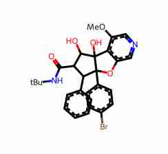 COc1cncc2c1C1(O)C(O)C(C(=O)NC(C)(C)C)C(c3ccccc3)C1(c1ccc(Br)cc1)O2